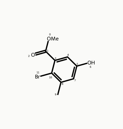 COC(=O)c1cc(O)cc(C)c1Br